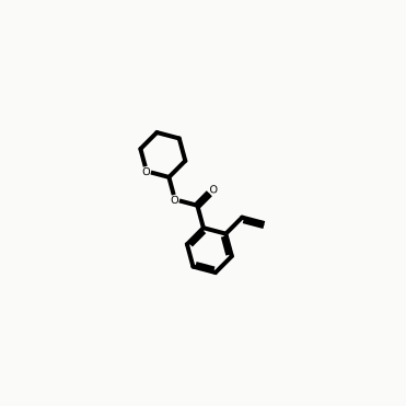 C=Cc1ccccc1C(=O)OC1CCCCO1